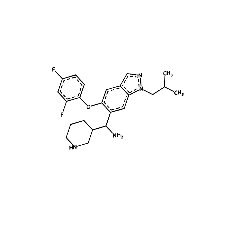 CC(C)Cn1ncc2cc(Oc3ccc(F)cc3F)c(C(N)C3CCCNC3)cc21